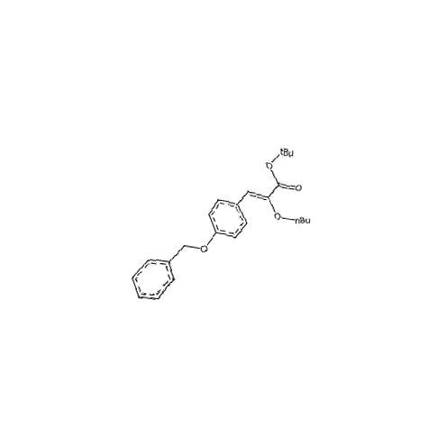 CCCCOC(=Cc1ccc(OCc2ccccc2)cc1)C(=O)OC(C)(C)C